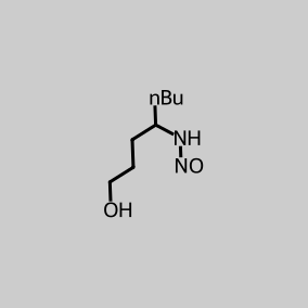 CCCCC(CCCO)NN=O